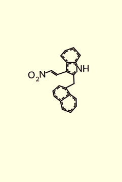 O=[N+]([O-])C=Cc1c(Cc2cccc3ccccc23)[nH]c2ccccc12